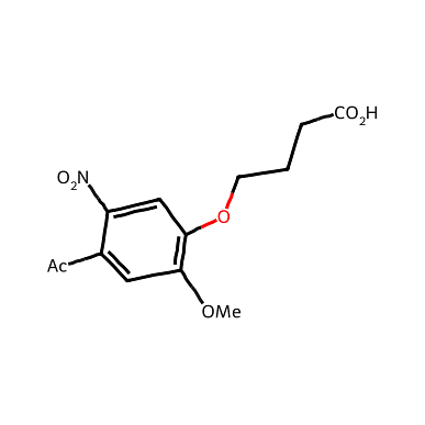 COc1cc(C(C)=O)c([N+](=O)[O-])cc1OCCCC(=O)O